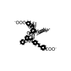 CCN([C@H]1CC[C@H](C(=O)[O-])CC1)S(=O)(=O)c1cccc(C(=O)Nc2ccc(N3CCCCC3)cc2C(=O)Nc2ccc(CCc3ccc(C(=O)[O-])cc3)cc2)c1.O.O.O.[Na+].[Na+]